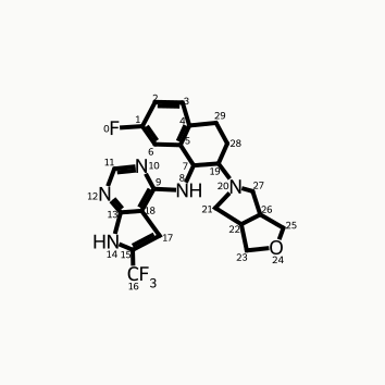 Fc1ccc2c(c1)C(Nc1ncnc3[nH]c(C(F)(F)F)cc13)C(N1CC3COCC3C1)CC2